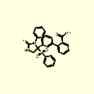 O=C(O)c1ccccc1-c1cccc(C2(S(=O)(=O)c3ccccc3)CNC(=O)N2c2ccccc2)c1